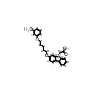 Cc1cccc(OCCCCCOc2ccc3c4ccccc4n(CC(=O)O)c3c2)c1